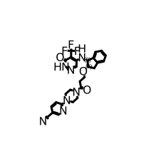 N#Cc1ccc(N2CCN(C(=O)CCO[C@@H]3Cc4ccccc4[C@H]3Nc3cn[nH]c(=O)c3C(F)(F)F)CC2)nc1